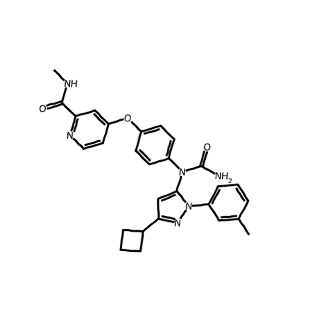 CNC(=O)c1cc(Oc2ccc(N(C(N)=O)c3cc(C4CCC4)nn3-c3cccc(C)c3)cc2)ccn1